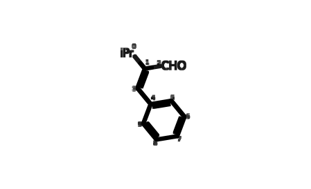 CC(C)C(C=O)=Cc1ccccc1